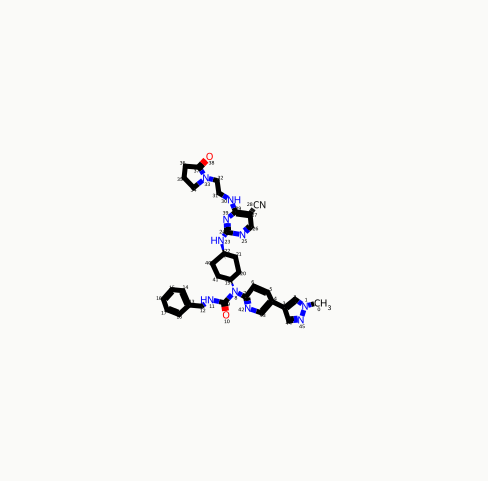 Cn1cc(-c2ccc(N(C(=O)NCc3ccccc3)[C@H]3CC[C@H](Nc4ncc(C#N)c(NCCN5CCCC5=O)n4)CC3)nc2)cn1